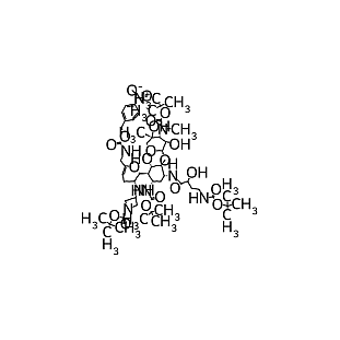 CN(C(=O)OC(C)(C)C)[C@@H]1[C@@H](O)[C@@H](O[C@@H]2[C@@H](O)[C@H](C3OC(CNC(=O)OCc4ccc([N+](=O)[O-])cc4)=CC[C@H]3NC3CN(C(=O)OC(C)(C)C)C3)[C@@H](NC(=O)OC(C)(C)C)C[C@H]2NC(=O)[C@@H](O)CCNC(=O)OC(C)(C)C)OC[C@]1(C)O